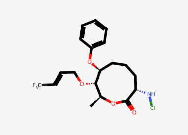 C[C@@H]1OC(=O)[C@@H](NCl)CCC[C@H](Oc2ccccc2)[C@H]1OC/C=C/C(F)(F)F